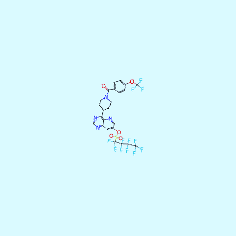 O=C(c1ccc(OC(F)(F)F)cc1)N1CCC(c2ncnc3cc(OS(=O)(=O)C(F)(F)C(F)(F)C(F)(F)C(F)(F)F)cnc23)CC1